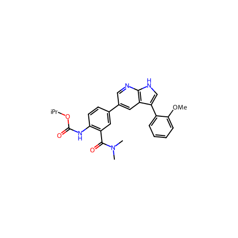 COc1ccccc1-c1c[nH]c2ncc(-c3ccc(NC(=O)OC(C)C)c(C(=O)N(C)C)c3)cc12